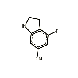 N#Cc1cc(F)c2c(c1)NCC2